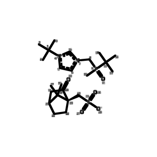 CC(C)(C)[n+]1ccn(CP(C)(=O)C(C)(C)C)c1.CC1(C)C2CC[C@@]1(CS(=O)(=O)[O-])C(=O)C2